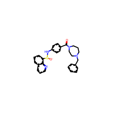 O=C(c1ccc(N[S+]([O-])c2cccc3cccnc23)cc1)N1CCCN(Cc2ccccc2)CC1